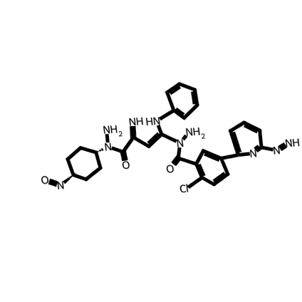 N=Nc1cccc(-c2ccc(Cl)c(C(=O)N(N)/C(=C/C(=N)C(=O)N(N)[C@H]3CC[C@H](N=O)CC3)Nc3ccccc3)c2)n1